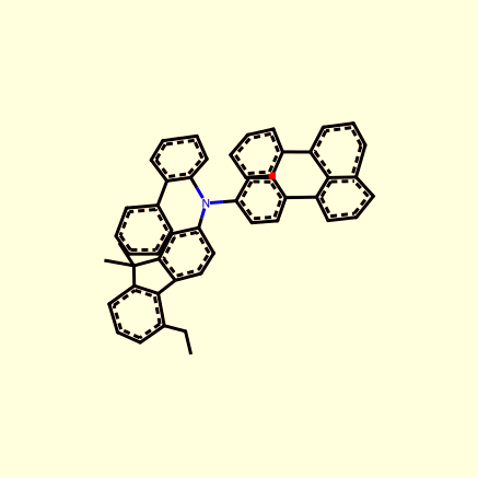 CCc1cccc2c1-c1ccc(N(c3ccc(-c4cccc5cccc(-c6ccccc6)c45)cc3)c3ccccc3-c3ccccc3)cc1C2(C)C